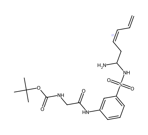 C=C/C=C\CC(N)NS(=O)(=O)c1cccc(NC(=O)CNC(=O)OC(C)(C)C)c1